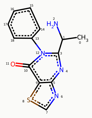 CC(N)c1nc2ncsc2c(=O)n1-c1ccccc1